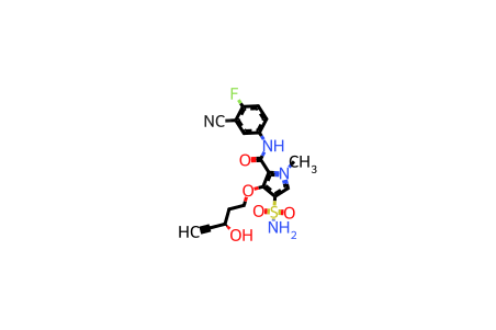 C#C[C@H](O)CCOc1c(S(N)(=O)=O)cn(C)c1C(=O)Nc1ccc(F)c(C#N)c1